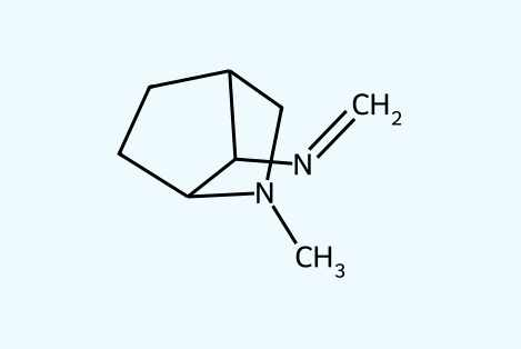 C=NC1C2CCC1N(C)C2